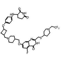 O=C1CCC(Nc2ccc(OC3CC(CN4CCC(COc5cc(F)c6c(=O)[nH]c(CSC7CCN(CC(F)(F)F)CC7)nc6c5)CC4)C3)cc2)C(=O)N1